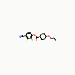 CCCOC1CCC(C(=O)Oc2ccc(C#N)c(F)c2F)CC1